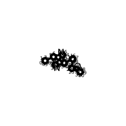 c1ccc(-c2ccc3c(c2)C2(c4cc(-c5ccccc5-c5cccc6c5oc5ccccc56)ccc4-c4ncccc42)c2cccnc2-3)cc1